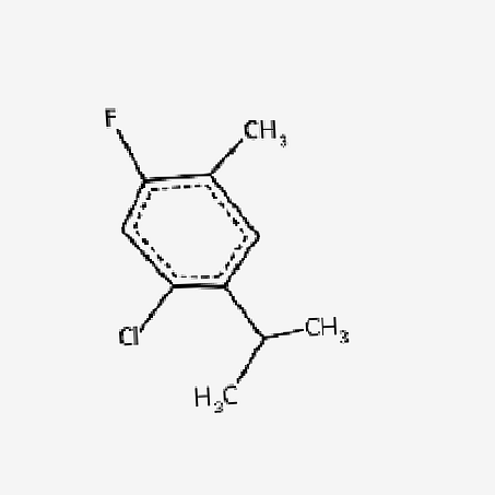 Cc1cc(C(C)C)c(Cl)cc1F